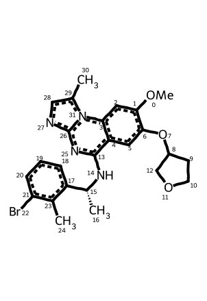 COc1cc2c(cc1OC1CCOC1)c(N[C@H](C)c1cccc(Br)c1C)nc1ncc(C)n12